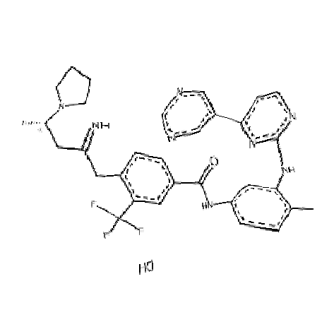 Cc1ccc(NC(=O)c2ccc(CC(=N)C[C@H](C)N3CCCC3)c(C(F)(F)F)c2)cc1Nc1nccc(-c2cncnc2)n1.Cl